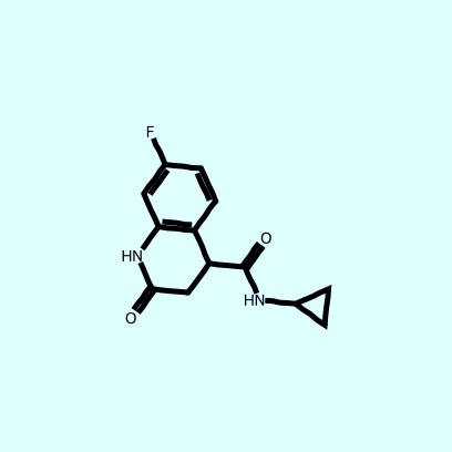 O=C1CC(C(=O)NC2CC2)c2ccc(F)cc2N1